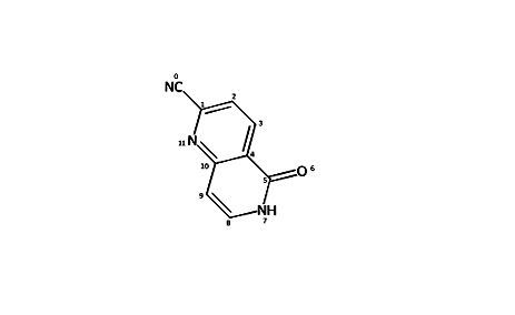 N#Cc1ccc2c(=O)[nH]ccc2n1